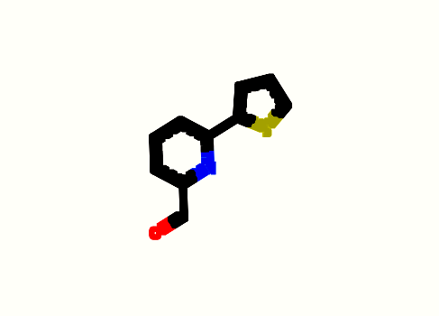 O=Cc1cccc(-c2cccs2)n1